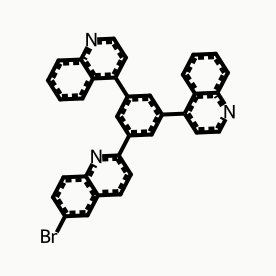 Brc1ccc2nc(-c3cc(-c4ccnc5ccccc45)cc(-c4ccnc5ccccc45)c3)ccc2c1